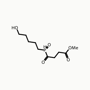 COC(=O)CCC(=O)[PH](=O)CCCCCO